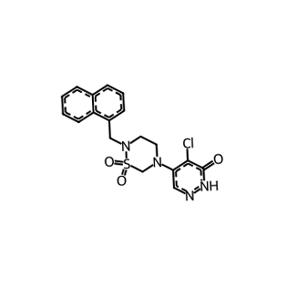 O=c1[nH]ncc(N2CCN(Cc3cccc4ccccc34)S(=O)(=O)C2)c1Cl